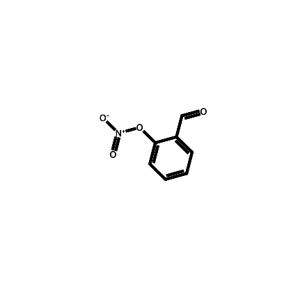 O=Cc1ccccc1O[N+](=O)[O-]